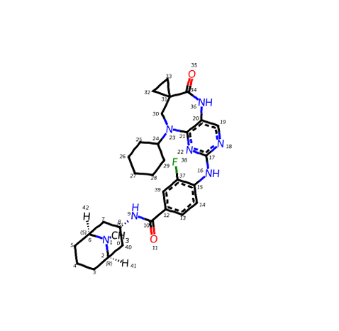 CN1[C@@H]2CCC[C@H]1C[C@H](NC(=O)c1ccc(Nc3ncc4c(n3)N(C3CCCCC3)CC3(CC3)C(=O)N4)c(F)c1)C2